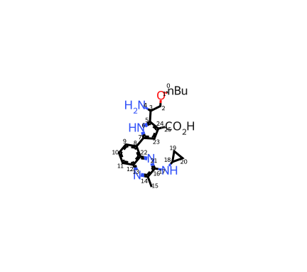 CCCCOCC(N)c1[nH]c(-c2cccc3nc(C)c(NC4CC4)nc23)cc1C(=O)O